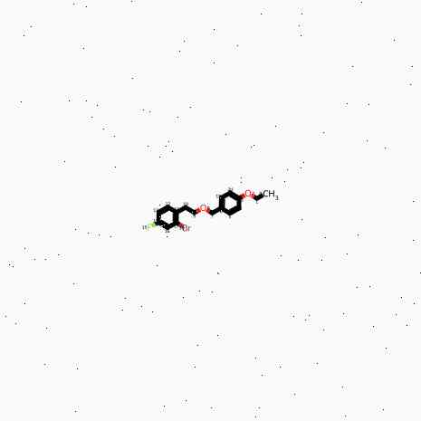 CCOc1ccc(COCCc2ccc(F)cc2Br)cc1